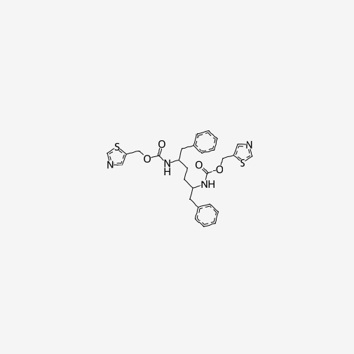 O=C(NC(CCC(Cc1ccccc1)NC(=O)OCc1cncs1)Cc1ccccc1)OCc1cncs1